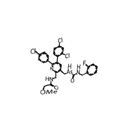 COCC(=O)NCc1nc(-c2ccc(Cl)cc2)c(-c2ccc(Cl)cc2Cl)cc1C[AsH]C(=O)NCc1ccccc1F